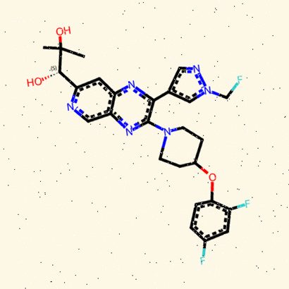 CC(C)(O)[C@@H](O)c1cc2nc(-c3cnn(CF)c3)c(N3CCC(Oc4ccc(F)cc4F)CC3)nc2cn1